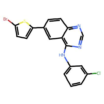 Clc1cccc(Nc2ncnc3ccc(-c4ccc(Br)s4)cc23)c1